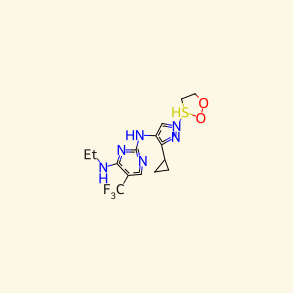 CCNc1nc(Nc2cn([SH]3CCOO3)nc2C2CC2)ncc1C(F)(F)F